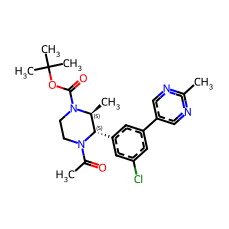 CC(=O)N1CCN(C(=O)OC(C)(C)C)[C@@H](C)[C@@H]1c1cc(Cl)cc(-c2cnc(C)nc2)c1